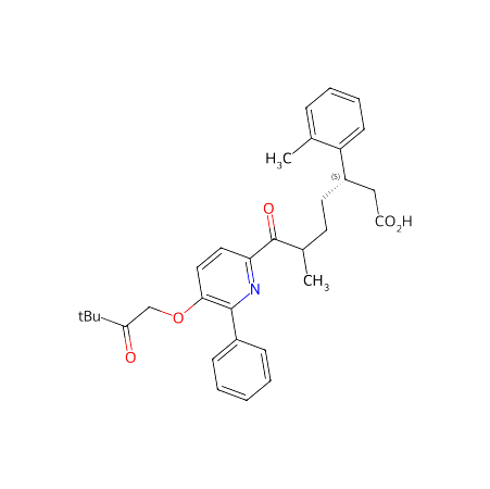 Cc1ccccc1[C@@H](CCC(C)C(=O)c1ccc(OCC(=O)C(C)(C)C)c(-c2ccccc2)n1)CC(=O)O